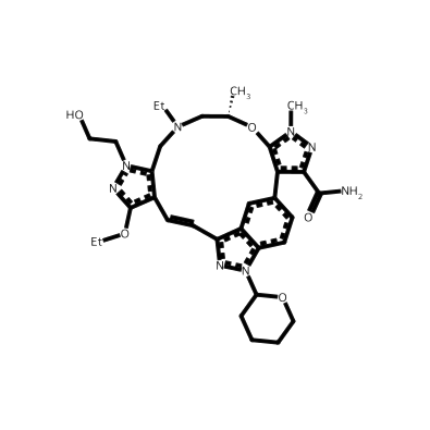 CCOc1nn(CCO)c2c1/C=C/c1nn(C3CCCCO3)c3ccc(cc13)-c1c(C(N)=O)nn(C)c1O[C@@H](C)CN(CC)C2